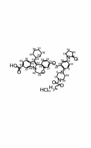 CS(=O)(=O)N1CCN(c2ccc(N3CCCC3=O)cc2COc2ccc3c(c2)OCCn2c-3c(C3CCCCC3)c3ccc(C(=O)O)cc32)CC1.Cl